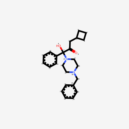 O=C(CC1CCC1)C(O)(c1ccccc1)N1CCN(Cc2ccccc2)CC1